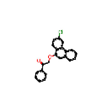 O=C(COc1cc2ccccc2c2cc(Cl)ccc12)c1ccccc1